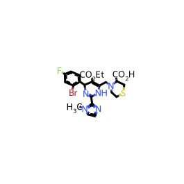 CCOC(=O)C1=C(CN2CCSCC2C(=O)O)NC(c2nccn2C)=NC1c1ccc(F)cc1Br